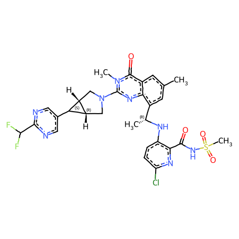 Cc1cc([C@@H](C)Nc2ccc(Cl)nc2C(=O)NS(C)(=O)=O)c2nc(N3C[C@@H]4C(c5cnc(C(F)F)nc5)[C@@H]4C3)n(C)c(=O)c2c1